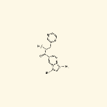 CC(C)c1cn(C)c2ccc(C(=O)N(C)Cc3cccnc3)cc12